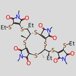 CCSC1=C(S[C@@H](CC)[C@@H]2SC3=C(S[C@@H]([C@@H](CC)SC4=C(SCC)C(=O)N(C)C4=O)[C@H](C)SC4=C(S[C@H]2C)C(=O)N(C)C4=O)C(=O)N(C)C3=O)C(=O)N(C)C1=O